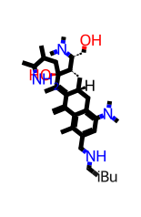 C=C1C2=C(C)[C@](O)(CC(C)C(C)N)[C@H]([C@@H](CO)N(C)C)C[C@@H]2Cc2c(N(C)C)cc(CNCC(C)CC)c(C)c21